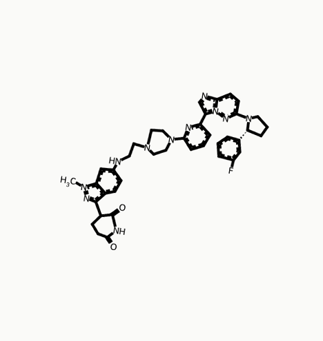 Cn1nc(C2CCC(=O)NC2=O)c2ccc(NCCN3CCN(c4cccc(-c5cnc6ccc(N7CCC[C@@H]7c7cccc(F)c7)nn56)n4)CC3)cc21